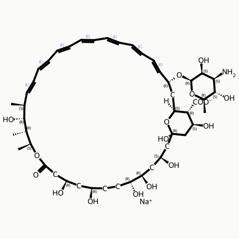 C[C@@H]1[C@H](O)[C@@H](C)/C=C/C=C/C=C/C=C/C=C/C=C/C=C/[C@H](O[C@@H]2O[C@H](C)[C@@H](O)[C@H](N)[C@@H]2O)C[C@@H]2O[C@](O)(C[C@@H](O)C[C@@H](O)[C@H](O)CC[C@@H](O)C[C@@H](O)CC(=O)O[C@H]1C)C[C@H](O)[C@H]2C(=O)[O-].[Na+]